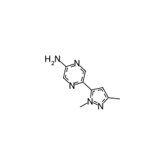 Cc1cc(-c2cnc(N)cn2)n(C)n1